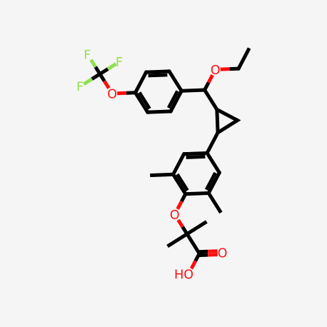 CCOC(c1ccc(OC(F)(F)F)cc1)C1CC1c1cc(C)c(OC(C)(C)C(=O)O)c(C)c1